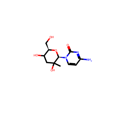 CC1(O)CC(O)[C@@H](CO)O[C@H]1n1ccc(N)nc1=O